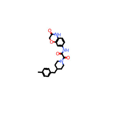 Cc1ccc(CC2CCN(C(=O)C(=O)Nc3ccc4c(c3)OCC(=O)N4)CC2)cc1